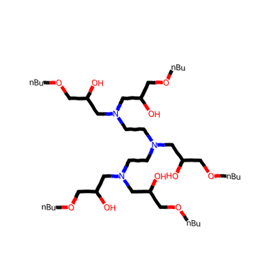 CCCCOCC(O)CN(CCN(CC(O)COCCCC)CC(O)COCCCC)CCN(CC(O)COCCCC)CC(O)COCCCC